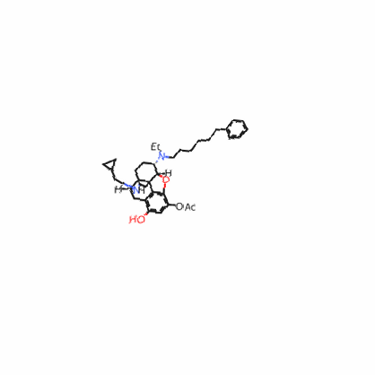 CCN(CCCCCCc1ccccc1)[C@H]1CC[C@H]2[C@H]3Cc4c(O)cc(OC(C)=O)c5c4[C@@]2(CCN3CC2CC2)[C@H]1O5